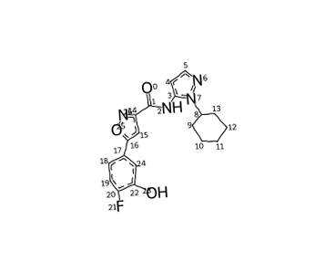 O=C(Nc1ccnn1C1CCCCC1)c1cc(-c2ccc(F)c(O)c2)on1